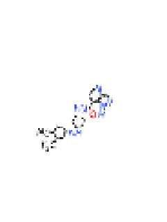 N#Cc1ccc(NC2CCC(NC(=O)c3ccnc4cn[nH]c34)CC2)cc1C(F)(F)F